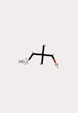 CC(C)(CBr)CC(=O)O